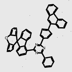 c1ccc(-c2nc(-c3ccc(-c4cc5ccccc5c5ccccc45)cc3)nc(-c3cccc4c3-c3ccccc3C43c4ccccc4Oc4ccccc43)n2)cc1